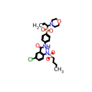 C=CC(N1CCOCC1)S(=O)(=O)c1ccc(NC(=O)c2cc(Cl)ccc2NS(=O)(=O)CCCC)cc1